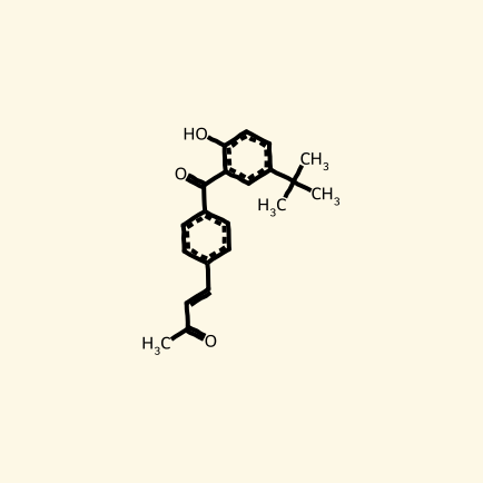 CC(=O)C=Cc1ccc(C(=O)c2cc(C(C)(C)C)ccc2O)cc1